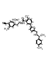 Cc1ccc([C@@H](C)NCc2ccc(-c3ccc(Cl)c(C(=O)N[C@@H](CO)Cc4ccc(C#N)c(N)c4)c3)o2)cc1